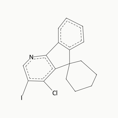 Clc1c(I)cnc2c1C1(CCCCC1)c1ccccc1-2